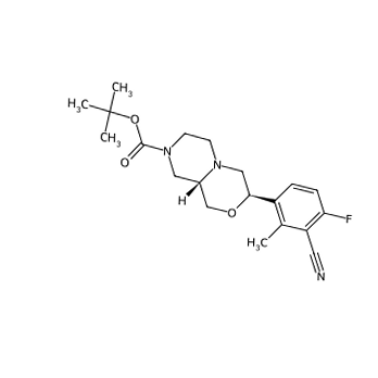 Cc1c([C@@H]2CN3CCN(C(=O)OC(C)(C)C)C[C@H]3CO2)ccc(F)c1C#N